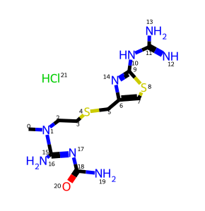 CN(CCSCc1csc(NC(=N)N)n1)C(N)=NC(N)=O.Cl